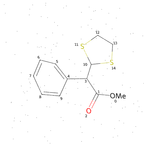 COC(=O)C(c1ccccc1)C1SCCS1